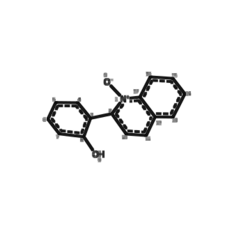 [O-][n+]1c(-c2ccccc2O)ccc2ccccc21